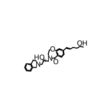 CC(O)CCC=Cc1ccc2c(c1)OCCN(C[C@H](O)CN1CCc3ccccc3C1)C2=O